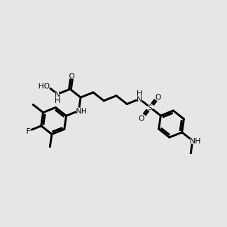 CNc1ccc(S(=O)(=O)NCCCCC(Nc2cc(C)c(F)c(C)c2)C(=O)NO)cc1